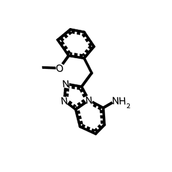 COc1ccccc1Cc1nnc2cccc(N)n12